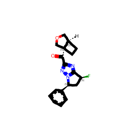 O=C(c1nc2n(n1)[C@H](c1ccccc1)C[C@@H]2F)[C@@]12CC[C@@H]1COC2